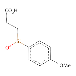 COc1ccc([S+]([O-])CCC(=O)O)cc1